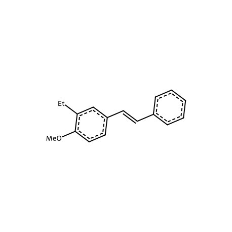 CCc1cc(/C=C/c2ccccc2)ccc1OC